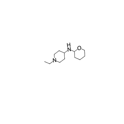 CCN1CCC(NC2CCCCO2)CC1